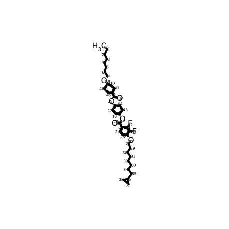 CCCCCCCCOc1ccc(C(=O)Oc2ccc(OC(=O)c3ccc(OCCCCCCCCC4CC4)c(F)c3F)cc2)cc1